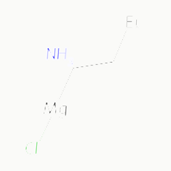 CCC[CH2][Mg][Cl].N